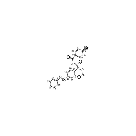 O=C1CC(C2CCOc3cc(SCc4ccccc4)ccc32)Oc2cc(Br)ccc21